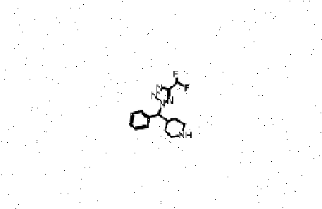 FC(F)c1nnn(C(c2ccccc2)C2CCNCC2)n1